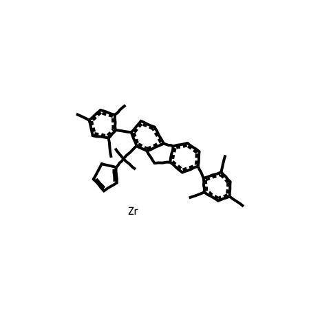 Cc1cc(C)c(-c2ccc3c(c2)Cc2c-3ccc(-c3c(C)cc(C)cc3C)c2C(C)(C)C2=CC=CC2)c(C)c1.[Zr]